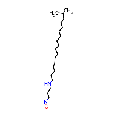 CC(C)CCCCCCCCCCCCCCCNCCCN=O